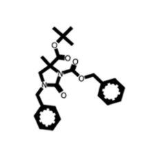 CC(C)(C)OC(=O)C1(C)CN(Cc2ccccc2)C(=O)N1C(=O)OCc1ccccc1